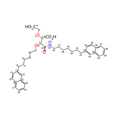 O=C(O)COC(C(=O)O)C(OCCCCCCc1ccc2ccccc2c1)C(=O)NCCCCCCCc1ccc2ccccc2c1